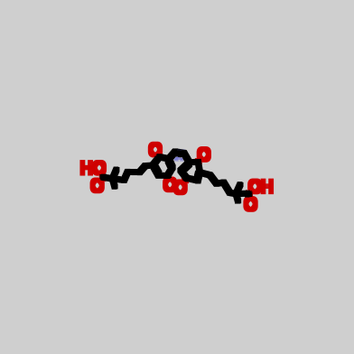 CC(C)(CCCCC1=CC(=O)C=C(/C=C\C2=CC(=O)C=C(CCCCC(C)(C)C(=O)O)C2=O)C1=O)C(=O)O